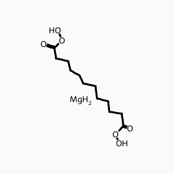 O=C(CCCCCCCCCCC(=O)OO)OO.[MgH2]